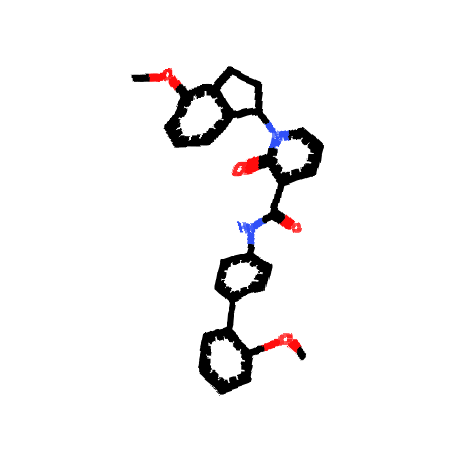 COc1ccccc1-c1ccc(NC(=O)c2cccn(C3CCc4c(OC)cccc43)c2=O)cc1